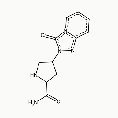 NC(=O)C1CC(n2nc3ccccn3c2=O)CN1